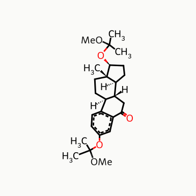 COC(C)(C)Oc1ccc2c(c1)C(=O)C[C@@H]1[C@@H]2CC[C@]2(C)[C@@H](OC(C)(C)OC)CC[C@@H]12